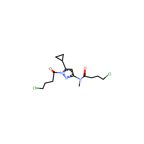 CN(C(=O)CCCCl)c1cc(C2CC2)n(C(=O)CCCCl)n1